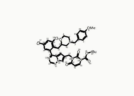 COc1ccc(CN2CCOC(Cc3c(Cl)cc(Cl)cc3-c3ncnn4cc(Cn5c(=O)ccn(C(=O)OC(C)(C)C)c5=O)cc34)C2)cc1